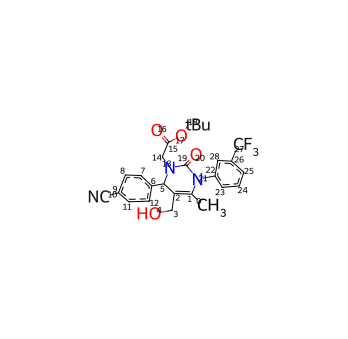 CC1=C(CO)C(c2ccc(C#N)cc2)N(CC(=O)OC(C)(C)C)C(=O)N1c1cccc(C(F)(F)F)c1